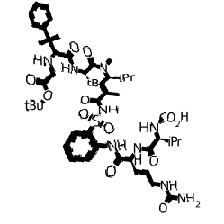 C/C(=C\[C@H](C(C)C)N(C)C(=O)[C@@H](NC(=O)[C@@H](NCC(=O)OC(C)(C)C)C(C)(C)c1ccccc1)C(C)(C)C)C(=O)NS(=O)(=O)c1ccccc1NC(=O)[C@H](CCCNC(N)=O)NC(=O)[C@@H](NC(=O)O)C(C)C